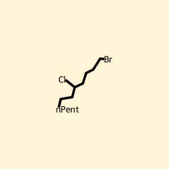 CCCCCCCC(Cl)CCCCBr